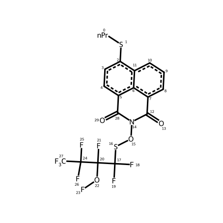 CCCSc1ccc2c3c(cccc13)C(=O)N(OSC(F)(F)C(F)(OF)C(F)(F)C(F)(F)F)C2=O